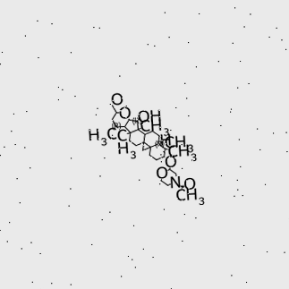 CC(=O)N1CCOC(OC2CCC34CC35CCC3(C)C6C(OC(C=O)C[C@H]6C)[C@H](O)C3(C)C5CC[C@H]4C2(C)C)C1